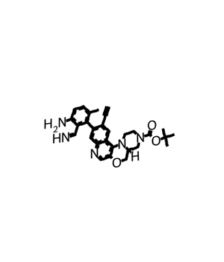 C#Cc1cc2c3c(cnc2cc1-c1c(C)ccc(N)c1C=N)OC[C@H]1CN(C(=O)OC(C)(C)C)CCN31